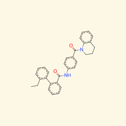 CCc1ccccc1-c1ccccc1C(=O)Nc1ccc(C(=O)N2CCCc3ccccc32)cc1